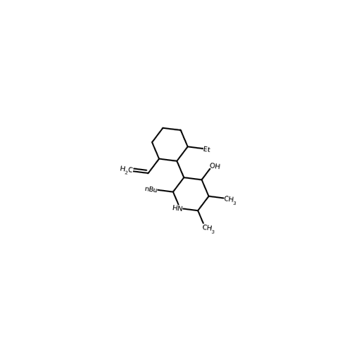 C=CC1CCCC(CC)C1C1C(CCCC)NC(C)C(C)C1O